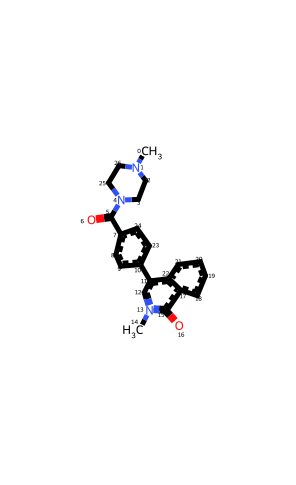 CN1CCN(C(=O)c2ccc(-c3cn(C)c(=O)c4ccccc34)cc2)CC1